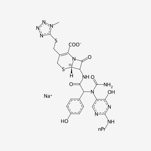 CCCNc1ncc(N(C(N)=O)C(C(=O)NC2C(=O)N3C(C(=O)[O-])=C(CSc4nnnn4C)CS[C@@H]23)c2ccc(O)cc2)c(O)n1.[Na+]